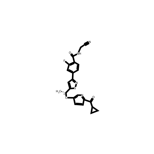 C[C@@H](Oc1ccc(C(=O)C2CC2)nc1)c1cc(-c2ccc(C(=O)NCC#N)c(F)c2)ns1